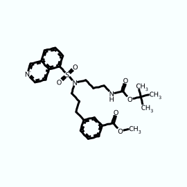 COC(=O)c1cccc(CCCN(CCCNC(=O)OC(C)(C)C)S(=O)(=O)c2cccc3cnccc23)c1